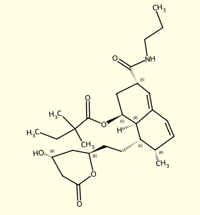 CCCNC(=O)[C@@H]1C=C2C=C[C@H](C)[C@H](CC[C@@H]3C[C@@H](O)CC(=O)O3)[C@H]2[C@@H](OC(=O)C(C)(C)CC)C1